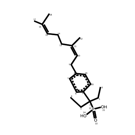 CCC(CC)(c1ccc(CC=C(C)CCC=C(C)C)cc1)P(=O)(O)O